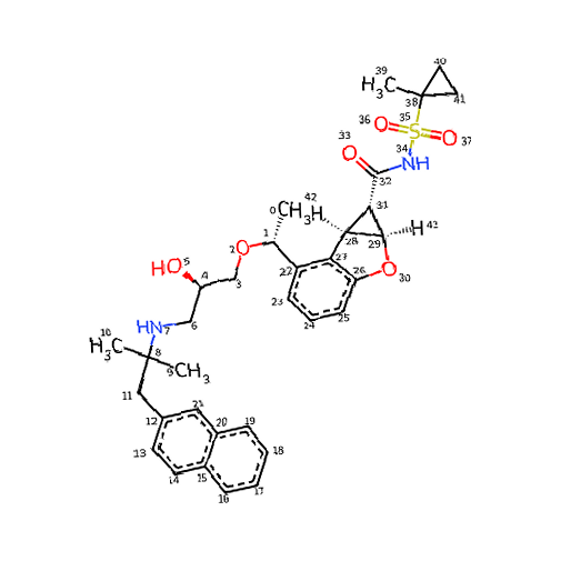 C[C@@H](OC[C@H](O)CNC(C)(C)Cc1ccc2ccccc2c1)c1cccc2c1[C@@H]1[C@H](O2)[C@H]1C(=O)NS(=O)(=O)C1(C)CC1